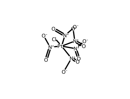 O=[N+]([O-])[Pt]([Cl])([N+](=O)[O-])([N+](=O)[O-])([N+](=O)[O-])[N+](=O)[O-]